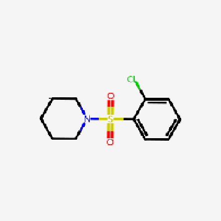 O=S(=O)(c1ccccc1Cl)N1C[CH]CCC1